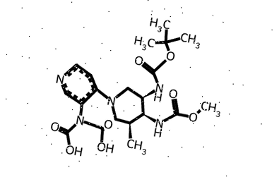 COC(=O)N[C@H]1[C@@H](C)CN(c2ccncc2N(C(=O)O)C(=O)O)C[C@H]1NC(=O)OC(C)(C)C